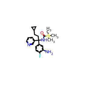 CS(C)(C)C(=O)NC(CCC1CC1)(c1cccnc1)c1ccc(F)c(N)c1